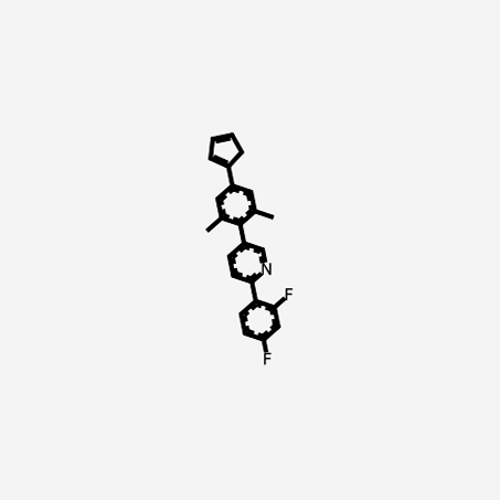 Cc1cc(C2=CC=CC2)cc(C)c1-c1ccc(-c2ccc(F)cc2F)nc1